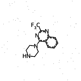 FC(F)(F)c1nc(N2CCNCC2)c2ccccc2n1